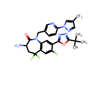 CC(C)(C#N)c1nnc(-c2cc3c(cc2F)C(F)(F)CC(N)C(=O)N3Cc2ccc(-n3cc(C(F)(F)F)cn3)nc2)o1